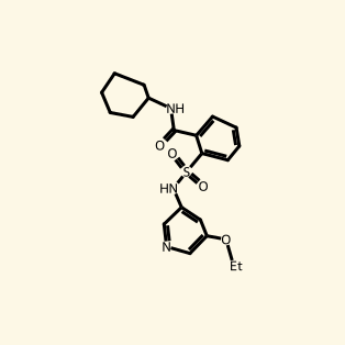 CCOc1cncc(NS(=O)(=O)c2ccccc2C(=O)NC2CCCCC2)c1